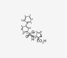 Cc1ccccc1-c1cccc(S(=O)(=O)Nc2ccsc2C(=O)O)c1